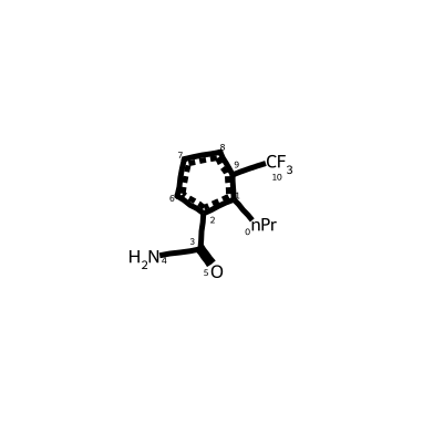 CCCc1c(C(N)=O)cccc1C(F)(F)F